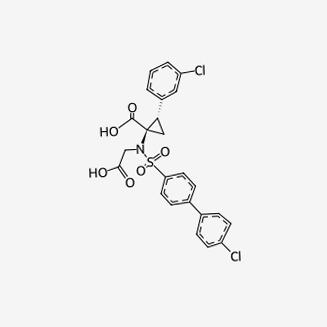 O=C(O)CN([C@]1(C(=O)O)C[C@H]1c1cccc(Cl)c1)S(=O)(=O)c1ccc(-c2ccc(Cl)cc2)cc1